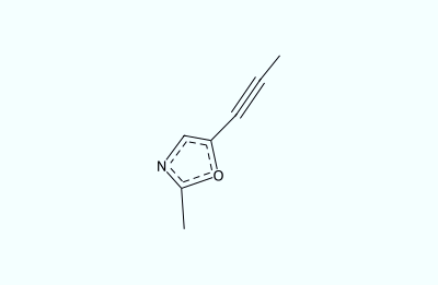 CC#Cc1cnc(C)o1